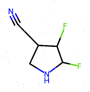 N#CC1CNC(F)C1F